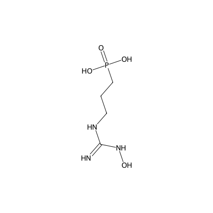 N=C(NO)NCCCP(=O)(O)O